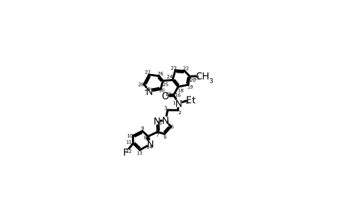 CCN(CCn1ccc(-c2ccc(F)cn2)n1)C(=O)c1cc(C)ccc1-c1cccnc1